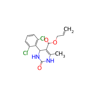 C=CCOC(=O)C1=C(C)NC(=O)NC1c1c(Cl)cccc1Cl